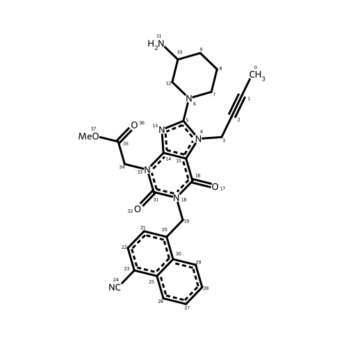 CC#CCn1c(N2CCCC(N)C2)nc2c1c(=O)n(Cc1ccc(C#N)c3ccccc13)c(=O)n2CC(=O)OC